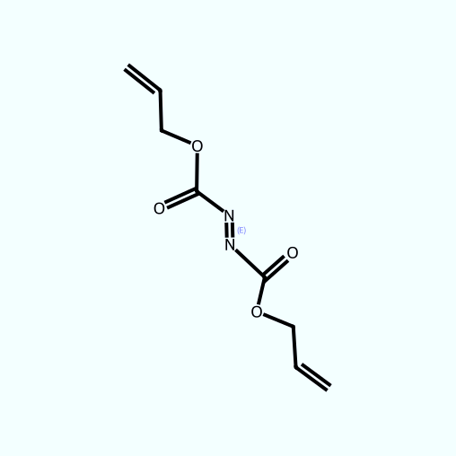 C=CCOC(=O)/N=N/C(=O)OCC=C